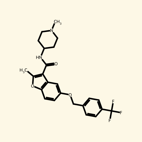 Cc1oc2ccc(OCc3ccc(C(F)(F)F)cc3)cc2c1C(=O)NC1CCN(C)CC1